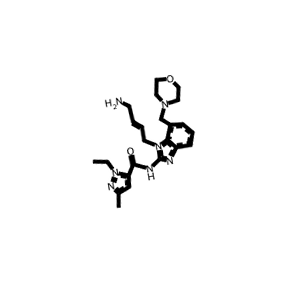 CCn1nc(C)cc1C(=O)Nc1nc2cccc(CN3CCOCC3)c2n1CC=CCN